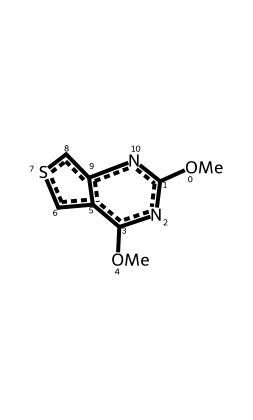 COc1nc(OC)c2cscc2n1